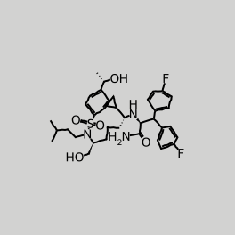 CC(C)CCN([C@H](CO)CCC[C@@H](N[C@H](C(N)=O)C(c1ccc(F)cc1)c1ccc(F)cc1)C1CC1)S(=O)(=O)c1ccc([C@H](C)O)cc1